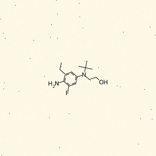 CCc1cc(N(CCO)C(C)(C)C)cc(F)c1N